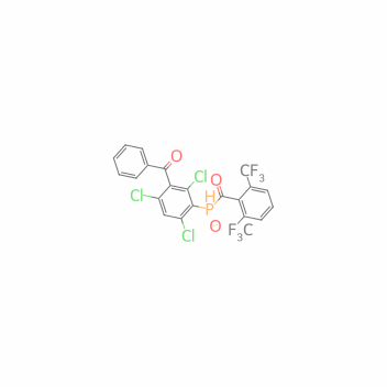 O=C(c1ccccc1)c1c(Cl)cc(Cl)c([PH](=O)C(=O)c2c(C(F)(F)F)cccc2C(F)(F)F)c1Cl